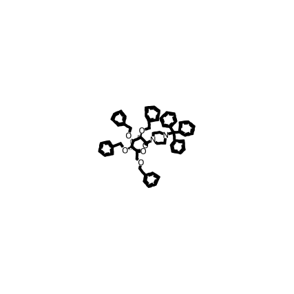 O=C(COCc1ccccc1)[C@@H](OCc1ccccc1)[C@H](OCc1ccccc1)[C@@H](OCc1ccccc1)C(=O)N1CCN(C(c2ccccc2)(c2ccccc2)c2ccccc2)CC1